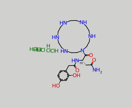 Cl.Cl.Cl.Cl.Cl.NC(=O)C[C@H](NC(=O)Cc1ccc(O)cc1O)C(=O)N1CCNCCNCCNCCNCCNCC1